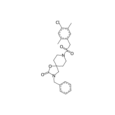 Cc1cc(CS(=O)(=O)N2CCC3(CC2)CN(Cc2ccccc2)C(=O)O3)c(C)cc1Cl